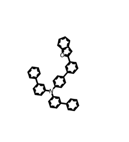 c1ccc(-c2cccc(N(c3ccc(-c4cccc(-c5cc6ccccc6o5)c4)cc3)c3cccc(-c4ccccc4)c3)c2)cc1